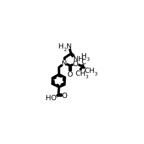 CC(C)(C)OC(=O)N(CC(=N)N)Cc1ccc(C(=O)O)cc1